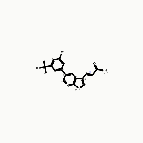 CC(C)(O)c1cc(F)cc(-c2cnc3[nH]cc(/C=C/C(N)=O)c3c2)c1